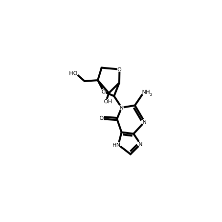 Nc1nc2nc[nH]c2c(=O)n1C1OC2(CO)COC1C2O